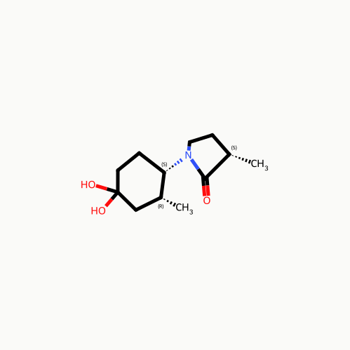 C[C@@H]1CC(O)(O)CC[C@@H]1N1CC[C@H](C)C1=O